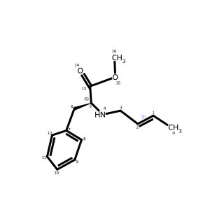 C/C=C/CN[C@@H](Cc1ccccc1)C(=O)OC